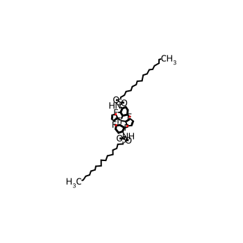 CCCCCCCCCCCCCCCCS(=O)(=O)Nc1ccc(F)[c]([Ti]([C]2=CC=CC2)([C]2=CC=CC2)[c]2c(F)ccc(NS(=O)(=O)CCCCCCCCCCCCCCCC)c2F)c1F